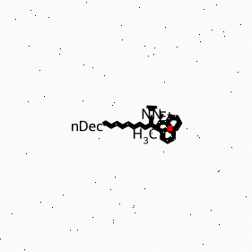 CCCCCCCCCCCCCCCCCCC(c1nccn1CC)C(C)(Cc1ccccc1)c1ccccc1